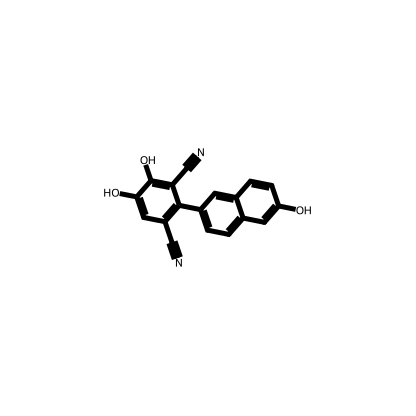 N#Cc1cc(O)c(O)c(C#N)c1-c1ccc2cc(O)ccc2c1